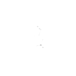 C=C[C@@H](O)CC(=O)F